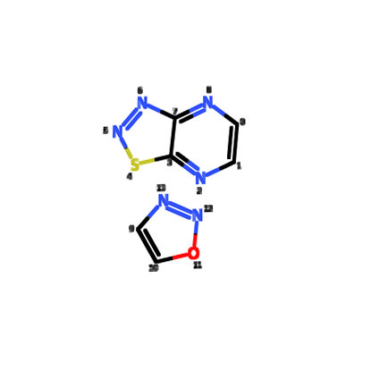 c1cnc2snnc2n1.c1conn1